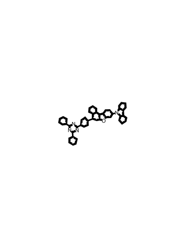 c1ccc(-c2nc(-c3ccccc3)nc(-c3ccc(-c4cc5oc6cc(-n7c8ccccc8c8ccccc87)ccc6c5c5ccccc45)cc3)n2)cc1